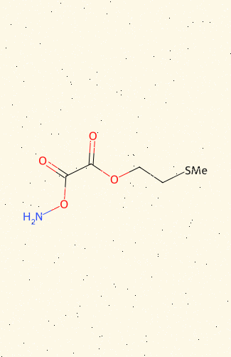 CSCCOC(=O)C(=O)ON